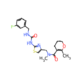 CC1=C(C(=O)N(C)Cc2csc(NC(=O)NCc3cccc(F)c3)n2)CCCO1